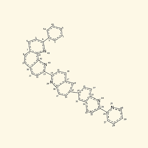 c1ccc(-c2ccc3ccc4ccc(-c5ccc6cc(-c7ccc8nc(-c9ccccn9)ccc8c7)ccc6n5)nc4c3n2)cc1